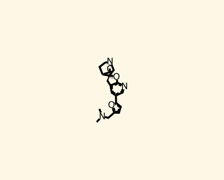 CN(C)Cc1ccc(-c2cnc3c(c2)C[C@@]2(CN4CCC2CC4)O3)o1